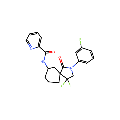 O=C(NC1CCCC2(C1)C(=O)N(c1cccc(F)c1)CC2(F)F)c1ccccn1